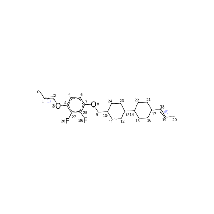 C/C=C/Oc1ccc(OCC2CCC(C3CCC(/C=C/C)CC3)CC2)c(F)c1F